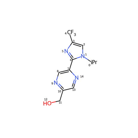 CC(C)n1cc(C(F)(F)F)nc1-c1cnc(CO)cn1